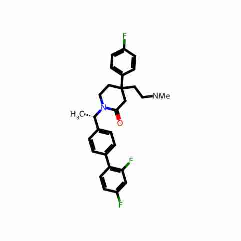 CNCCC1(c2ccc(F)cc2)CCN([C@@H](C)c2ccc(-c3ccc(F)cc3F)cc2)C(=O)C1